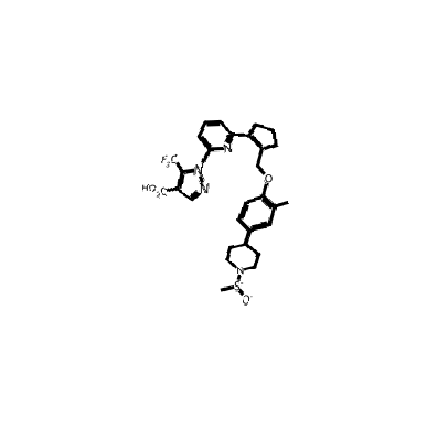 Cc1cc(C2CCN([S+](C)[O-])CC2)ccc1OCC1=C(c2cccc(-n3ncc(C(=O)O)c3C(F)(F)F)n2)CCC1